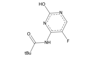 CC(C)(C)C(=O)Nc1nc(O)ncc1F